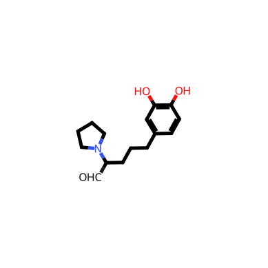 O=CC(CCCc1ccc(O)c(O)c1)N1CCCC1